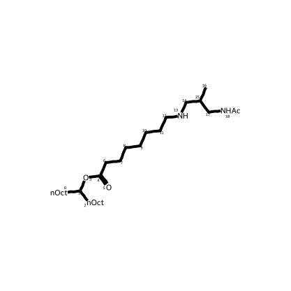 CCCCCCCCC(CCCCCCCC)OC(=O)CCCCCCCNCC(C)CNC(C)=O